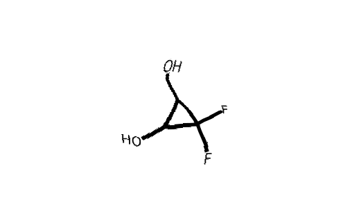 OC1C(O)C1(F)F